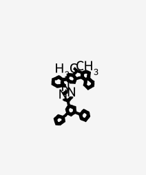 CC1(C)c2cc3c4ccccc4n(-c4ncc(-c5cc(-c6ccccc6)cc(-c6ccccc6)c5)cn4)c3cc2-c2c1ccc1ccccc21